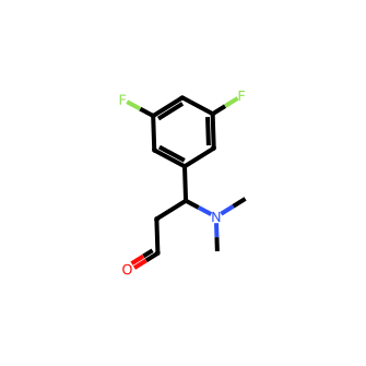 CN(C)C(CC=O)c1cc(F)cc(F)c1